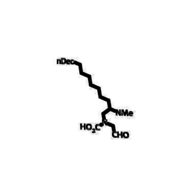 CCCCCCCCCCCCCCCCCC(CN(CC=O)C(=O)O)NC